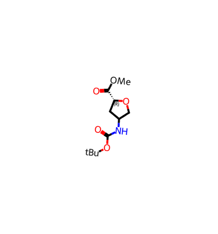 COC(=O)[C@H]1CC(NC(=O)OC(C)(C)C)CO1